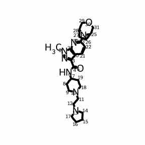 Cn1nc(C(=O)NC2CCN(CCN3CCCC3)CC2)c2ccc(N3C4CCC3COC4)nc21